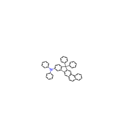 c1ccc(N(c2ccccc2)c2ccc3c(c2)-c2cc4ccc5ccccc5c4cc2C3(c2ccccc2)c2ccccc2)cc1